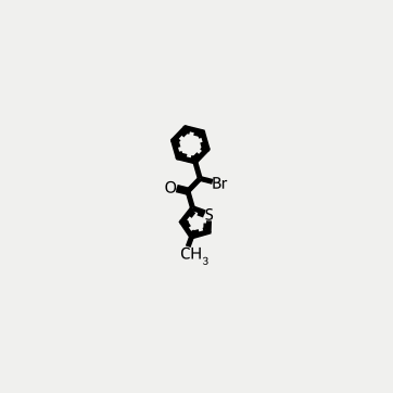 Cc1csc(C(=O)C(Br)c2ccccc2)c1